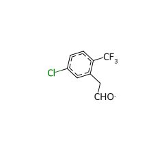 O=[C]Cc1cc(Cl)ccc1C(F)(F)F